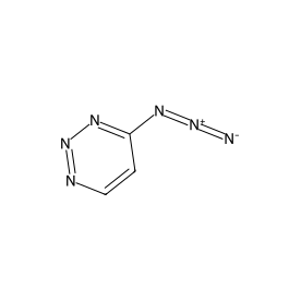 [N-]=[N+]=Nc1ccnnn1